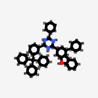 c1ccc(-c2nc(-c3cccc([Si](c4ccccc4)(c4ccccc4)c4ccccc4)c3)nc(-c3cc(-c4ccccc4)c4c(c3)oc3ccccc34)n2)cc1